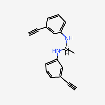 C#Cc1cccc(N[SiH](C)Nc2cccc(C#C)c2)c1